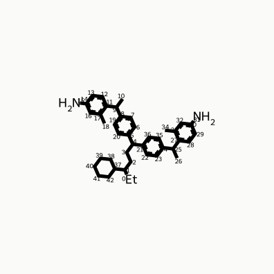 CCC(CCC(c1ccc(C(C)c2ccc(N)cc2C)cc1)c1ccc(C(C)c2ccc(N)cc2C)cc1)C1CCCCC1